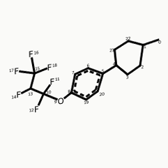 CC1CCC(c2ccc(OC(F)(F)C(F)C(F)(F)F)cc2)CC1